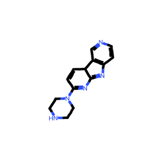 C1=CC2C(=Nc3ccncc32)N=C1N1CCNCC1